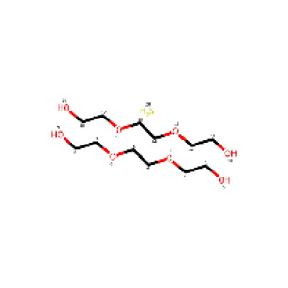 OCCOCCOCCO.OCCOCCOCCO.S